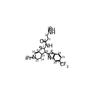 CCC(C)NCCC(=O)NC1SC2=CN(C(C)C)CCC2C1c1nc2cc(C(F)(F)F)ccc2s1